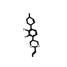 C/C=C/C1OCC(c2ccc(C3C=CC(C)CC3)c(F)c2F)CO1